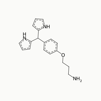 NCCCOc1ccc(C(c2ccc[nH]2)c2ccc[nH]2)cc1